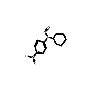 O=NN(c1ccc([N+](=O)[O-])cc1)C1CCCCC1